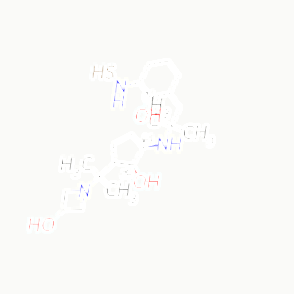 CC(C)(CC1CCCC(NS)[C@H]1O)N[C@@H]1CCC(C(C)(C)N2CC(O)C2)[C@@H]1O